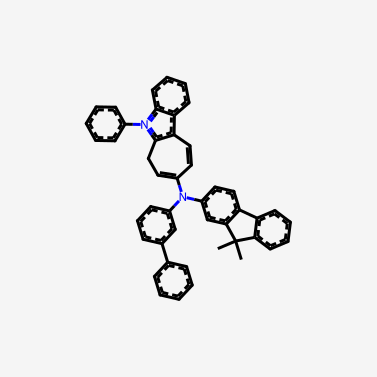 CC1(C)c2ccccc2-c2ccc(N(C3=CCc4c(c5ccccc5n4-c4ccccc4)C=C3)c3cccc(-c4ccccc4)c3)cc21